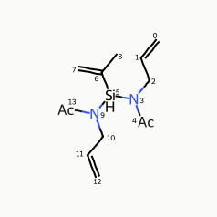 C=CCN(C(C)=O)[SiH](C(=C)C)N(CC=C)C(C)=O